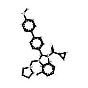 COc1ccc(-c2ccc(C3N(CN4CCCC4)c4c(C)cccc4N3C(=O)C3CC3)cc2)cc1